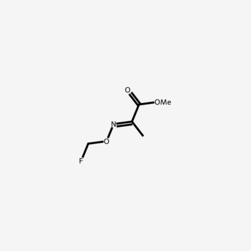 COC(=O)/C(C)=N/OCF